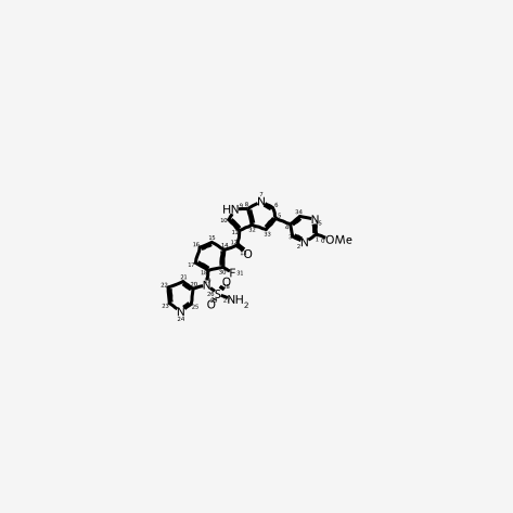 COc1ncc(-c2cnc3[nH]cc(C(=O)c4cccc(N(c5cccnc5)S(N)(=O)=O)c4F)c3c2)cn1